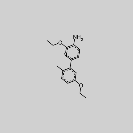 CCOc1ccc(C)c(-c2ccc(N)c(OCC)n2)c1